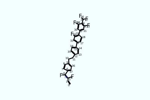 C=C/C(F)=C(\F)c1ccc(CCc2ccc(-c3ccc(-c4cc(F)c(C(F)F)c(F)c4)c(F)c3)cc2)cc1